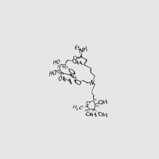 CCNC(=O)CCCCCN(CCC[C@@H]1O[C@@H](C)[C@@H](O)[C@@H](O)[C@@H]1O)CCO[C@@H]1O[C@H](CO)[C@@H](O)[C@H](O)[C@H]1O